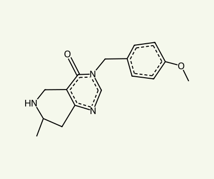 COc1ccc(Cn2cnc3c(c2=O)CNC(C)C3)cc1